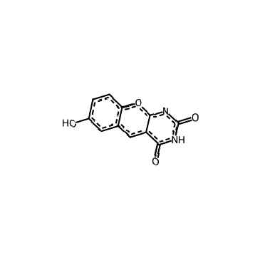 O=c1nc2oc3ccc(O)cc3cc-2c(=O)[nH]1